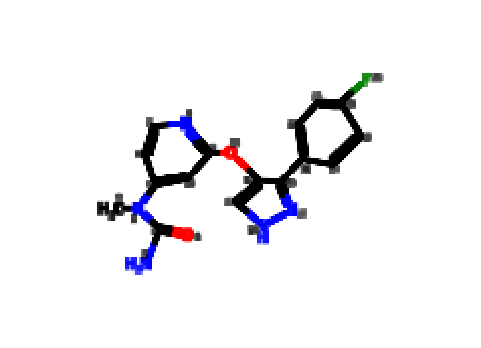 CN(C(N)=O)c1ccnc(Oc2c[nH]nc2-c2ccc(F)cc2)c1